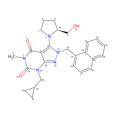 Cn1c(=O)c2c(N3CCC[C@H]3CO)n(Cc3cccc4ccccc34)nc2n(CC2CC2)c1=O